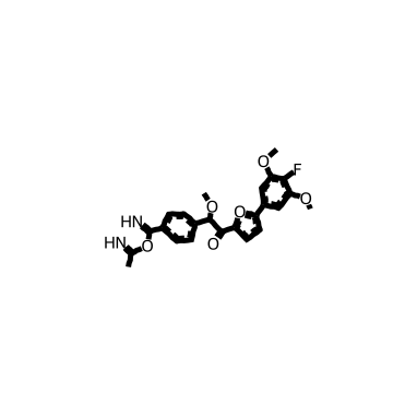 COc1cc(-c2ccc(C(=O)C(OC)c3ccc(C(=N)OC(C)=N)cc3)o2)cc(OC)c1F